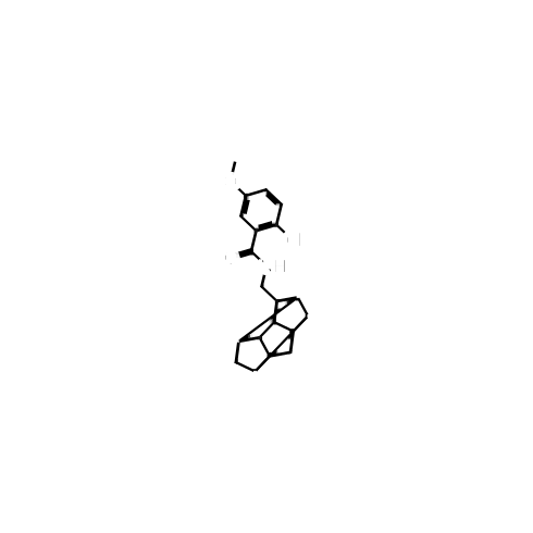 COc1ccc(Cl)c(C(=O)NCC2C3C4CC5C6CC(C53)C2C64)c1